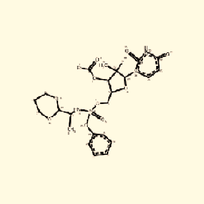 CCC(=O)OC1C(COP(=O)(N[C@@H](C)C2OCCCO2)Oc2ccccc2)OC(n2ccc(=O)[nH]c2=O)C1(C)F